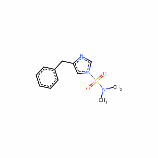 CN(C)S(=O)(=O)n1cnc(Cc2ccccc2)c1